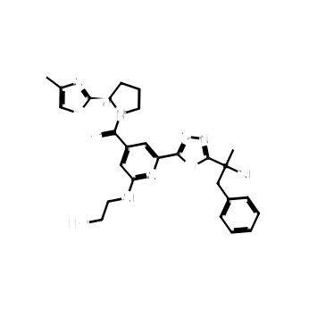 Cc1csc([C@H]2CCCN2C(=O)c2cc(NCCO)nc(-c3nnc(C(C)(N)Cc4ccccc4)o3)c2)n1